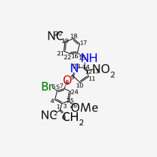 C=C(C#N)c1cc(Br)c(Oc2ccc([N+](=O)[O-])c(Nc3ccc(C#N)cc3)n2)cc1OC